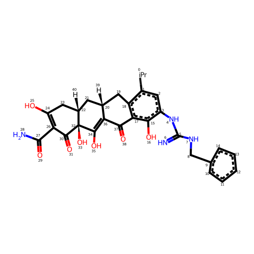 CC(C)c1cc(NC(=N)NCc2ccccc2)c(O)c2c1C[C@H]1C[C@H]3CC(O)=C(C(N)=O)C(=O)[C@@]3(O)C(O)=C1C2=O